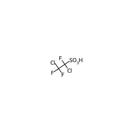 O=S(=O)(O)C(F)(Cl)C(F)(F)Cl